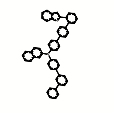 c1ccc(-c2cccc(-c3ccc(N(c4ccc(-c5ccc(-c6ccccc6-c6cc7ccccc7o6)cc5)cc4)c4ccc5ccccc5c4)cc3)c2)cc1